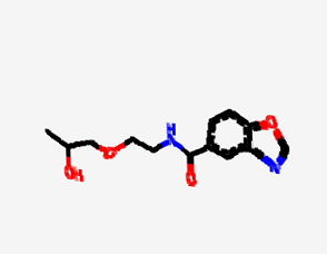 CC(O)COCCNC(=O)c1ccc2ocnc2c1